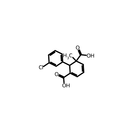 CC1(C(=O)O)C=CC=C(C(=O)O)C1c1cccc(Cl)c1